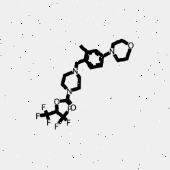 Cc1cc(N2CCOCC2)ccc1CN1CCN(C(=O)OC(C(F)(F)F)C(F)(F)F)CC1